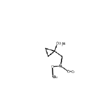 CC(C)(C)ON(C=O)CC1(C(=O)O)CC1